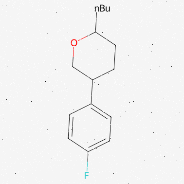 CCCCC1CCC(c2ccc(F)cc2)CO1